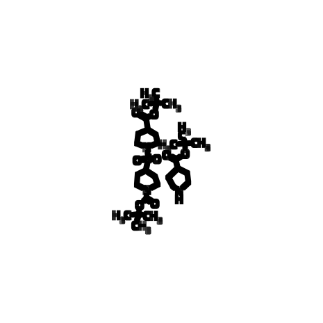 CC(C)(C)OC(=O)C1CCN(S(=O)(=O)C2CCN(C(=O)OC(C)(C)C)CC2)CC1.CC(C)(C)OC(=O)C1CCNCC1